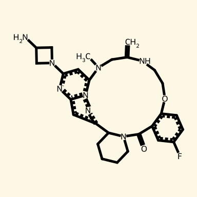 C=C1CN(C)c2cc(N3CC(N)C3)nc3cc(nn23)C2CCCCN2C(=O)c2cc(F)ccc2OCCN1